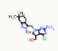 Cn1nc2c(c1CN1CC(CO)c3c(Cl)nc(N)nc31)CCC(C)(C)C2